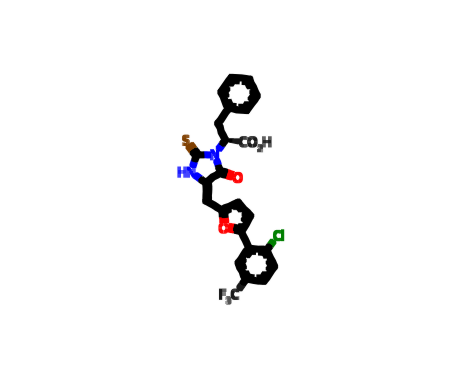 O=C(O)[C@H](Cc1ccccc1)N1C(=O)/C(=C\c2ccc(-c3cc(C(F)(F)F)ccc3Cl)o2)NC1=S